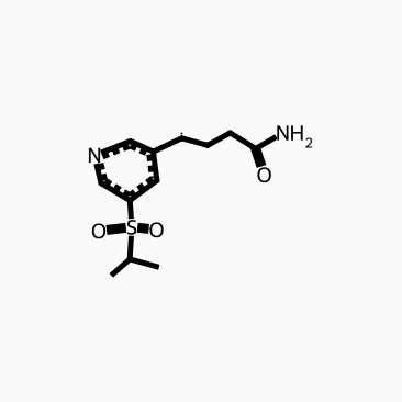 CC(C)S(=O)(=O)c1cncc([CH]CCC(N)=O)c1